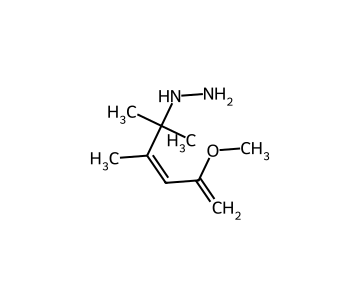 C=C(/C=C(/C)C(C)(C)NN)OC